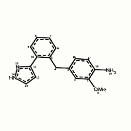 COc1cc(Cc2ccccc2-c2cc[nH]n2)ccc1N